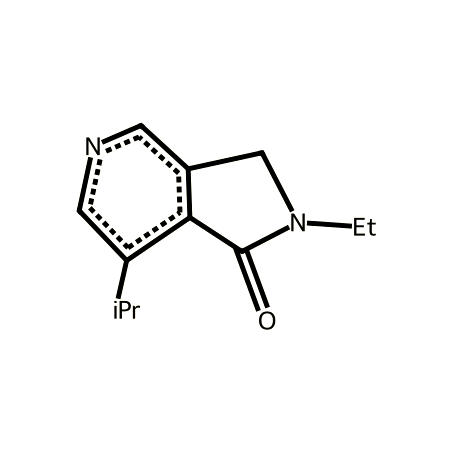 CCN1Cc2cncc(C(C)C)c2C1=O